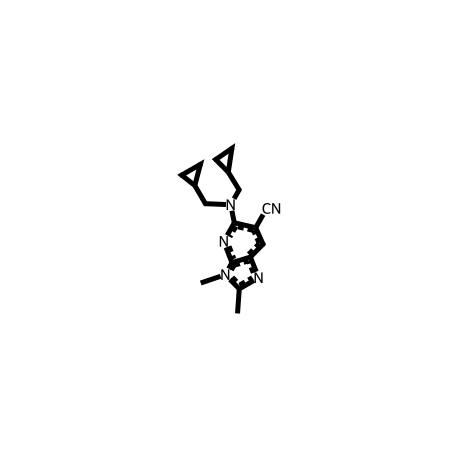 Cc1nc2cc(C#N)c(N(CC3CC3)CC3CC3)nc2n1C